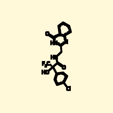 O=C(NCc1nc2ccccc2c(=O)[nH]1)[C@](O)(c1ccc(Cl)cc1)C(F)(F)F